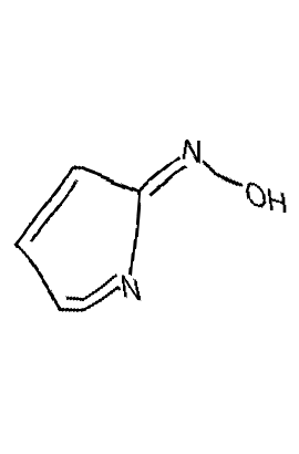 ON=C1C=CC=N1